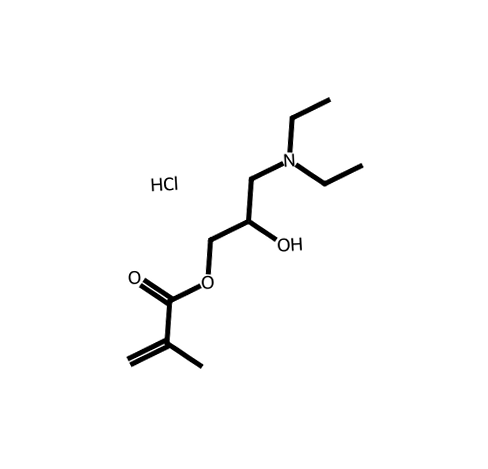 C=C(C)C(=O)OCC(O)CN(CC)CC.Cl